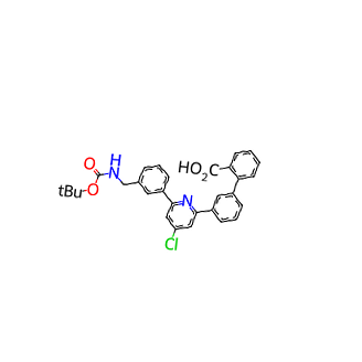 CC(C)(C)OC(=O)NCc1cccc(-c2cc(Cl)cc(-c3cccc(-c4ccccc4C(=O)O)c3)n2)c1